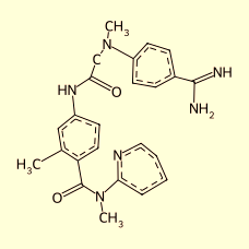 Cc1cc(NC(=O)CN(C)c2ccc(C(=N)N)cc2)ccc1C(=O)N(C)c1ccccn1